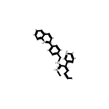 C\C=C/C=C(\C(=N/C)OCc1ccc(-c2ccc3ccccc3n2)cc1)c1cccnc1